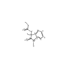 CCC(=O)CC1(C)C(=O)N(C)c2ccccc21